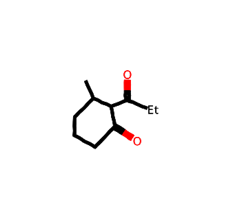 CCC(=O)C1C(=O)CCCC1C